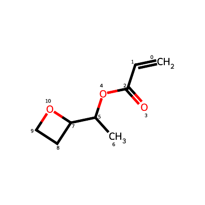 C=CC(=O)OC(C)C1CCO1